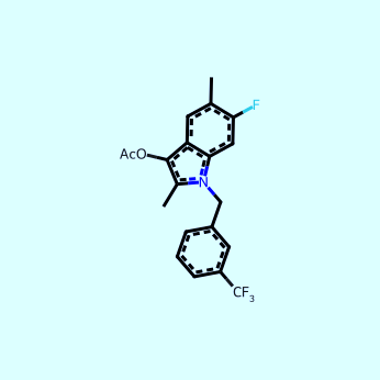 CC(=O)Oc1c(C)n(Cc2cccc(C(F)(F)F)c2)c2cc(F)c(C)cc12